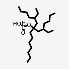 CCCCCCCC(CC(CC)CCCC)(CC(CC)CCCC)O[PH](=O)O